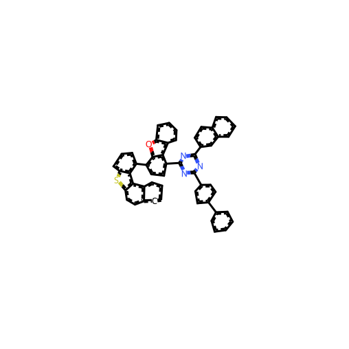 c1ccc(-c2ccc(-c3nc(-c4ccc5ccccc5c4)nc(-c4ccc(-c5cccc6sc7ccc8ccccc8c7c56)c5oc6ccccc6c45)n3)cc2)cc1